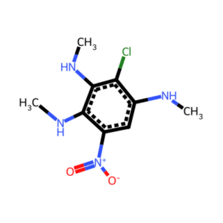 CNc1cc([N+](=O)[O-])c(NC)c(NC)c1Cl